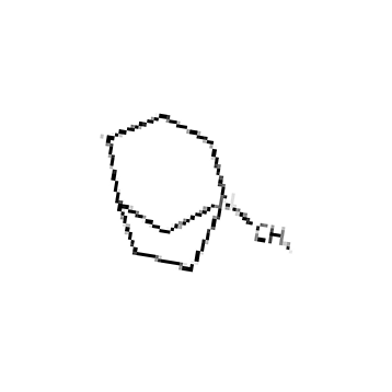 C[N+]12CC[CH]C(CC1)C2